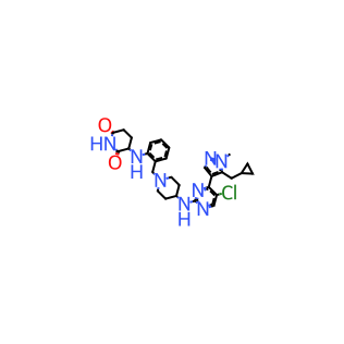 Cn1ncc(-c2nc(NC3CCN(Cc4ccccc4NC4CCC(=O)NC4=O)CC3)ncc2Cl)c1CC1CC1